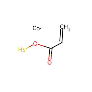 C=CC(=O)OS.[Co]